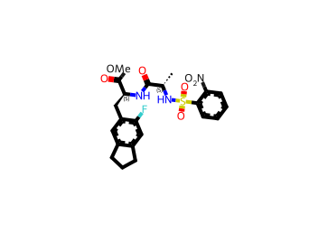 COC(=O)[C@H](Cc1cc2c(cc1F)CCC2)NC(=O)[C@H](C)NS(=O)(=O)c1ccccc1[N+](=O)[O-]